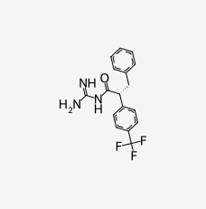 N=C(N)NC(=O)[C@H](Cc1ccccc1)c1ccc(C(F)(F)F)cc1